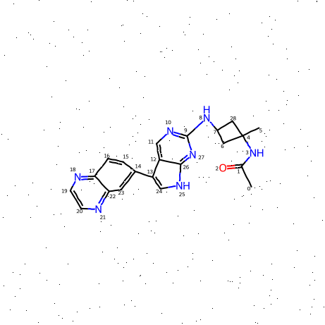 CC(=O)NC1(C)CC(Nc2ncc3c(-c4ccc5nccnc5c4)c[nH]c3n2)C1